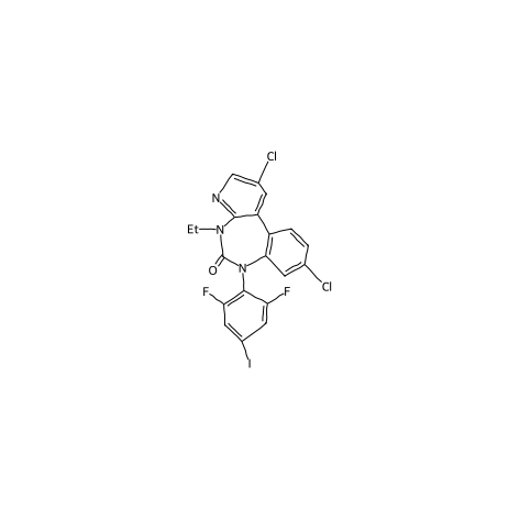 CCN1C(=O)N(c2c(F)cc(I)cc2F)c2cc(Cl)ccc2-c2cc(Cl)cnc21